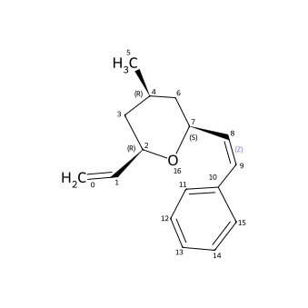 C=C[C@H]1C[C@@H](C)C[C@@H](/C=C\c2ccccc2)O1